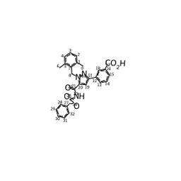 Cc1cccc(C)c1Cn1nc(-c2cccc(C(=O)O)c2)cc1C(=O)NS(=O)(=O)c1ccccc1